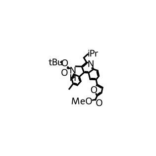 COC(=O)c1ccc(-c2ccc3nc(CC(C)C)c(CNC(=O)OC(C)(C)C)c(-c4ccc(C)cc4)c3c2)o1